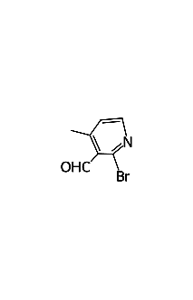 Cc1ccnc(Br)c1C=O